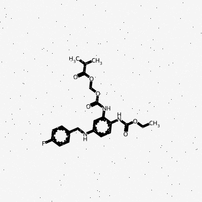 CCOC(=O)Nc1ccc(NCc2ccc(F)cc2)cc1NC(=O)OCOC(=O)C(C)C